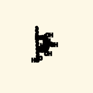 CCCCCCCCCCCCCCCCCC(=O)O.OCC(CO)(CO)COCC(CO)(CO)COCC(CO)(CO)CO